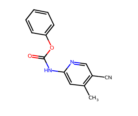 Cc1cc(NC(=O)Oc2ccccc2)ncc1C#N